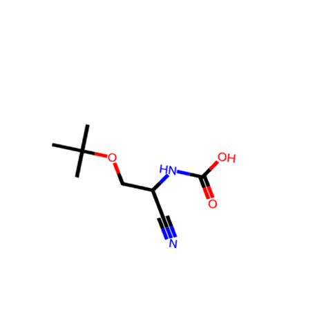 CC(C)(C)OCC(C#N)NC(=O)O